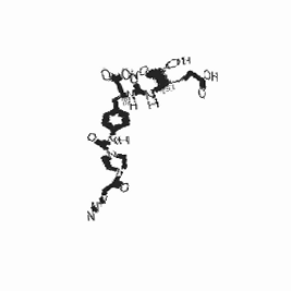 [N-]=[N+]=NCC(=O)N1CCN(C(=O)Nc2ccc(C[C@H](NC(=O)N[C@@H](CCC(=O)O)C(=O)O)C(=O)O)cc2)CC1